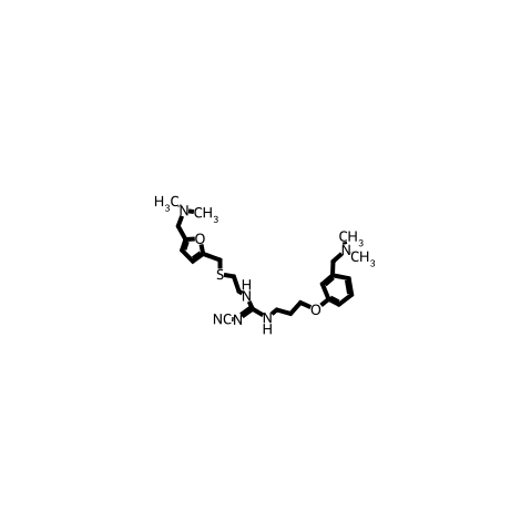 CN(C)Cc1cccc(OCCCN/C(=N/C#N)NCCSCc2ccc(CN(C)C)o2)c1